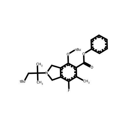 CCCCOc1c2c(c(F)c(C)c1C(=O)Oc1ccccc1)CN(C(C)(C)CC(C)(C)C)C2